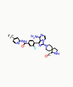 Nc1nccn2c(N3CCC4(CCNC4=C=O)CC3)nc(-c3ccc(C(=O)Nc4cc(C(F)(F)F)ccn4)cc3F)c12